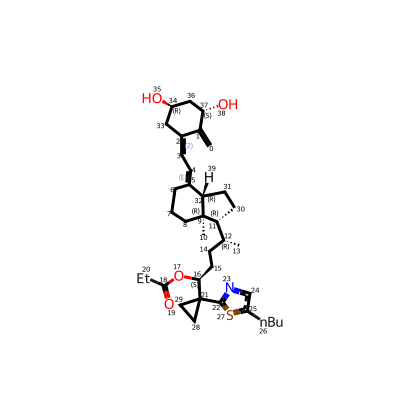 C=C1/C(=C\C=C2/CCC[C@]3(C)[C@@H]([C@H](C)CC[C@H](OC(=O)CC)C4(c5ncc(CCCC)s5)CC4)CC[C@@H]23)C[C@@H](O)C[C@@H]1O